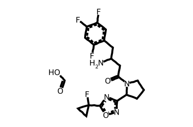 NC(CC(=O)N1CCCC1c1noc(C2(F)CC2)n1)Cc1cc(F)c(F)cc1F.O=CO